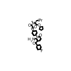 CC(C)C[C@@H](C(=O)OC1CCCC1)N(C)C(=O)COc1ccc(-n2c(N)c(C(=O)c3ccc(F)cc3)ccc2=O)cc1